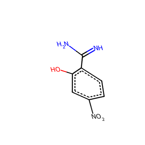 N=C(N)c1ccc([N+](=O)[O-])cc1O